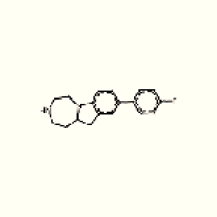 Fc1ccc(-c2ccc3c(c2)CC2CCNCCN32)cc1